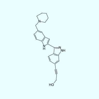 OCC#Cc1ccc2c(-c3cc4cc(CN5CCCCC5)ccc4[nH]3)n[nH]c2c1